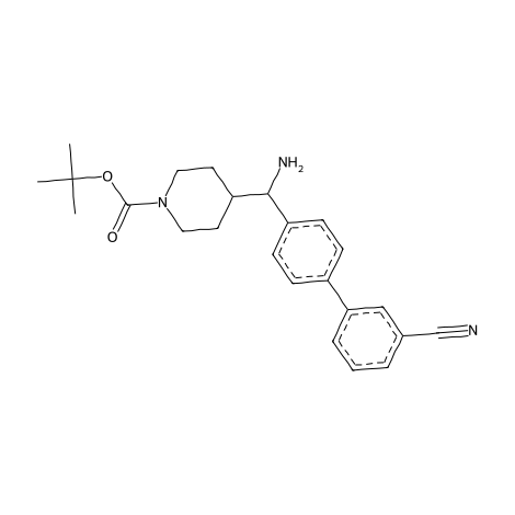 CC(C)(C)OC(=O)N1CCC(C(N)c2ccc(-c3cccc(C#N)c3)cc2)CC1